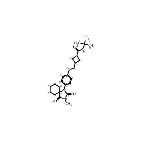 CN1C(=O)N(c2ccc(OCC3CN(C(=O)OC(C)(C)C)C3)cc2)C2(CCCCC2)C1=O